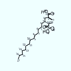 C=C(CC(CCCCCCCCCCCCCC)C(C)S(=O)(=O)O)C(=O)O